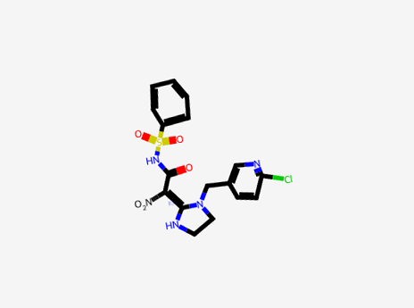 O=C(NS(=O)(=O)c1ccccc1)/C(=C1/NCCN1Cc1ccc(Cl)nc1)[N+](=O)[O-]